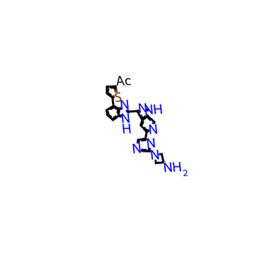 CC(=O)c1ccc(-c2cccc3[nH]c(-c4n[nH]c5cnc(-c6cncc(N7CC(N)C7)n6)cc45)nc23)s1